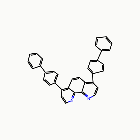 c1ccc(-c2ccc(-c3ccnc4c3ccc3c(-c5ccc(-c6ccccc6)cc5)ccnc34)cc2)cc1